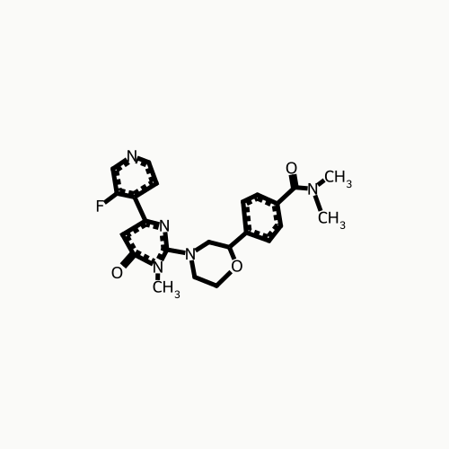 CN(C)C(=O)c1ccc(C2CN(c3nc(-c4ccncc4F)cc(=O)n3C)CCO2)cc1